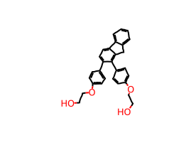 OCCOc1ccc(-c2ccc3c(c2-c2ccc(OCCO)cc2)Cc2ccccc2-3)cc1